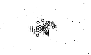 CC1(C)c2cc(-c3ccccc3)ccc2N2c3cc(-c4ncncn4)cc4c3B(c3cc(-c5ccccc5)cc1c32)c1cc(-c2ccccc2)cc2c1N4c1ccc(-c3ccccc3)cc1C2(C)C